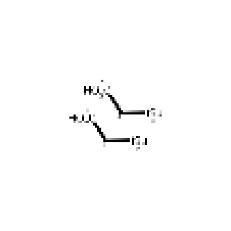 CC(C)(C)CC(=O)O.CC(C)(C)CC(=O)O